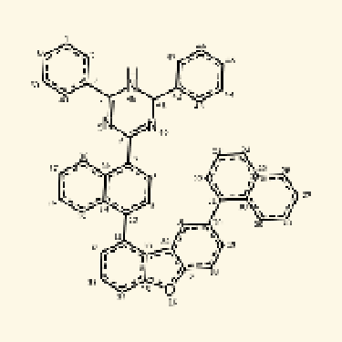 c1ccc(C2=NC(c3ccc(-c4cccc5oc6ccc(-c7cccc8ccccc78)cc6c45)c4ccccc34)=NC(c3ccccc3)N2)cc1